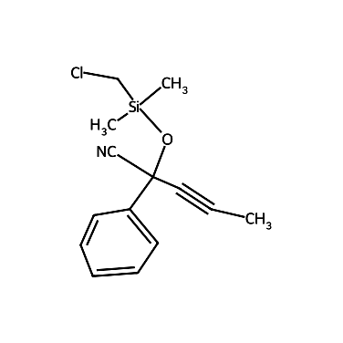 CC#CC(C#N)(O[Si](C)(C)CCl)c1ccccc1